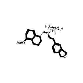 COc1cccc2c1CCC[C@H]2CN(C)CCc1ccc2c(c1)COC2.CS(=O)(=O)O